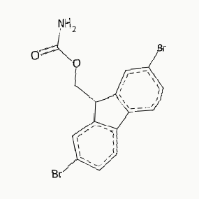 NC(=O)OCC1c2cc(Br)ccc2-c2ccc(Br)cc21